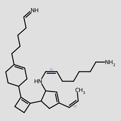 C/C=C\C1=CC(N/C=C\CCCCCN)C(C2=C(C3CC=C(CCCCC=N)CC3)CC2)C1